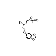 CCCC1(C)OC1CCC(CC)CCOc1ccc2c(c1)OCO2